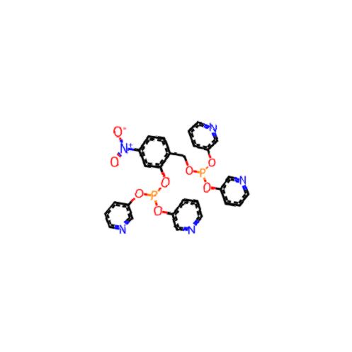 O=[N+]([O-])c1ccc(COP(Oc2cccnc2)Oc2cccnc2)c(OP(Oc2cccnc2)Oc2cccnc2)c1